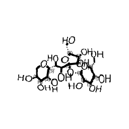 OC[C@H]1O[C@@H](O[C@@]2(C(O)C(O)[C@H]3OC[C@H](O)[C@@H](O)[C@@H]3O)O[C@H](CO)[C@@H](O)[C@@H]2O)[C@H](O)[C@@H](O)[C@H]1O